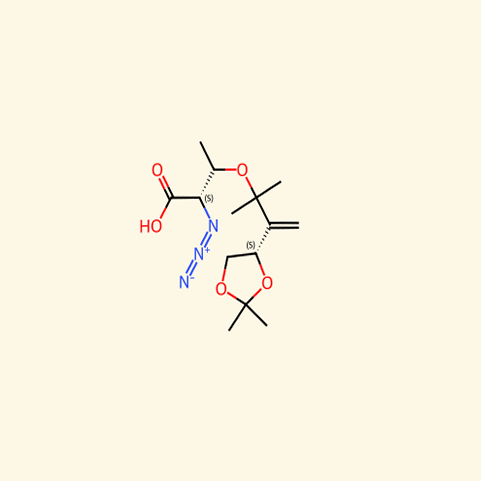 C=C([C@H]1COC(C)(C)O1)C(C)(C)OC(C)[C@H](N=[N+]=[N-])C(=O)O